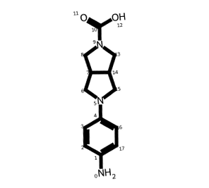 Nc1ccc(N2CC3CN(C(=O)O)CC3C2)cc1